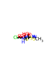 Cc1nnc(SCC2=C(C(=O)O)N3C(=O)C(NC(=O)CC(=O)CCl)[C@H]3SC2)s1